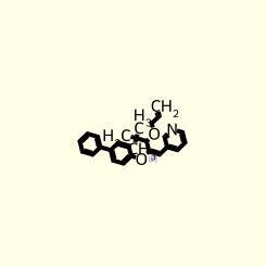 C=CCOC(/C(=C\c1cccnc1)Oc1ccc(-c2ccccc2)cc1)C(C)(C)C